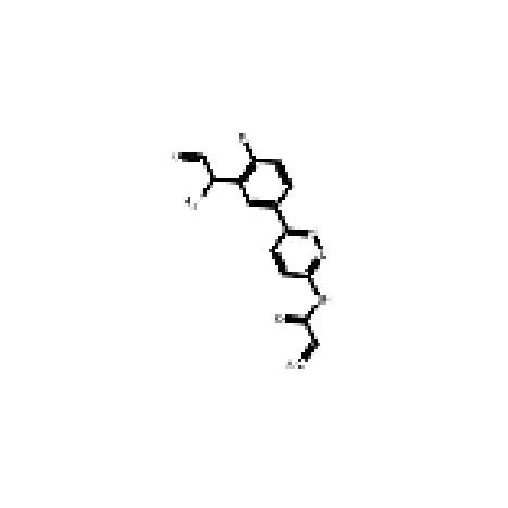 C=CC(=O)Nc1ccc(-c2ccc(F)c(C(C)C=O)c2)nn1